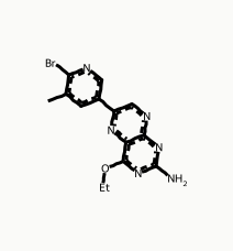 CCOc1nc(N)nc2ncc(-c3cnc(Br)c(C)c3)nc12